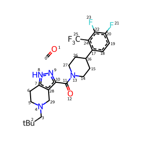 C=O.CC(C)(C)CN1CCc2[nH]nc(C(=O)N3CCC(c4ccc(F)c(F)c4C(F)(F)F)CC3)c2C1